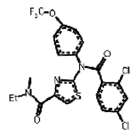 CCN(C)C(=O)c1csc(N(C(=O)c2ccc(Cl)cc2Cl)c2ccc(OC(F)(F)F)cc2)n1